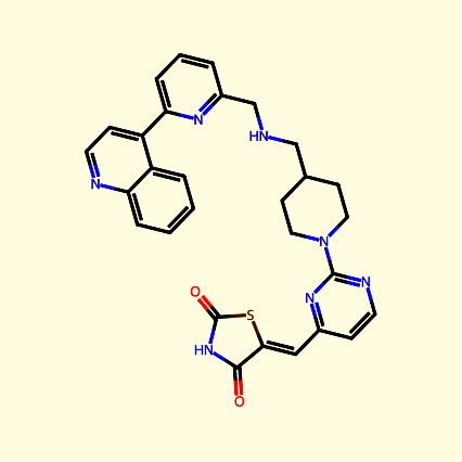 O=C1NC(=O)C(=Cc2ccnc(N3CCC(CNCc4cccc(-c5ccnc6ccccc56)n4)CC3)n2)S1